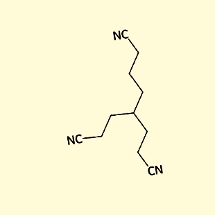 N#CCCCC(CCC#N)CCC#N